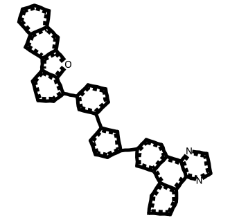 c1cc(-c2cccc(-c3cccc4c3oc3cc5ccccc5cc34)c2)cc(-c2ccc3c(c2)c2ccccc2c2nccnc32)c1